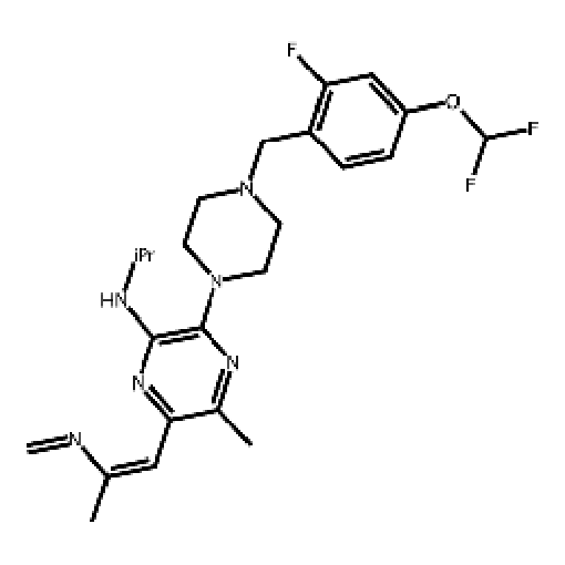 C=N/C(C)=C\c1nc(NC(C)C)c(N2CCN(Cc3ccc(OC(F)F)cc3F)CC2)nc1C